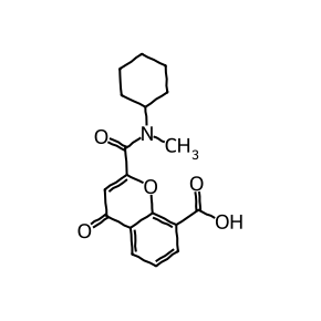 CN(C(=O)c1cc(=O)c2cccc(C(=O)O)c2o1)C1CCCCC1